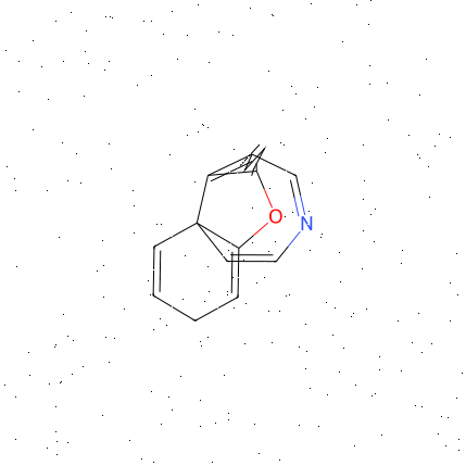 C1=CC23C=CN=Cc4cccc(c42)OC3=CC1